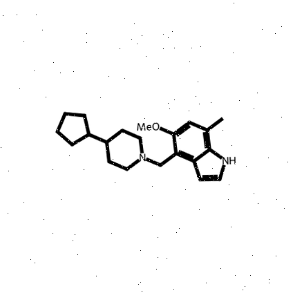 COc1cc(C)c2[nH]ccc2c1CN1CCC(C2CCCC2)CC1